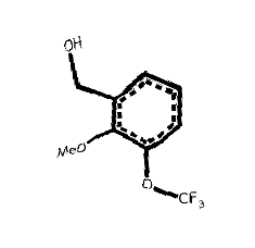 COc1c(CO)cccc1OC(F)(F)F